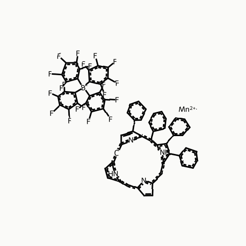 C1=Cc2cc3[nH]c(c(-c4ccccc4)c4nc(cc5ccc(cc1n2)[nH]5)C=C4c1ccccc1)c(-c1ccccc1)c3-c1ccccc1.Fc1c(F)c(F)c([B-](c2c(F)c(F)c(F)c(F)c2F)(c2c(F)c(F)c(F)c(F)c2F)c2c(F)c(F)c(F)c(F)c2F)c(F)c1F.[Mn+2]